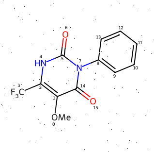 COc1c(C(F)(F)F)[nH]c(=O)n(-c2ccccc2)c1=O